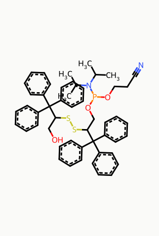 CC(C)N(C(C)C)P(OCCC#N)OCC(SSC(CO)C(c1ccccc1)(c1ccccc1)c1ccccc1)C(c1ccccc1)(c1ccccc1)c1ccccc1